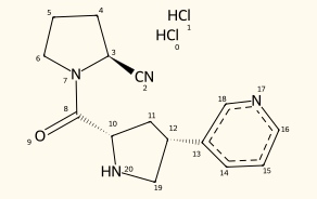 Cl.Cl.N#C[C@@H]1CCCN1C(=O)[C@@H]1C[C@H](c2cccnc2)CN1